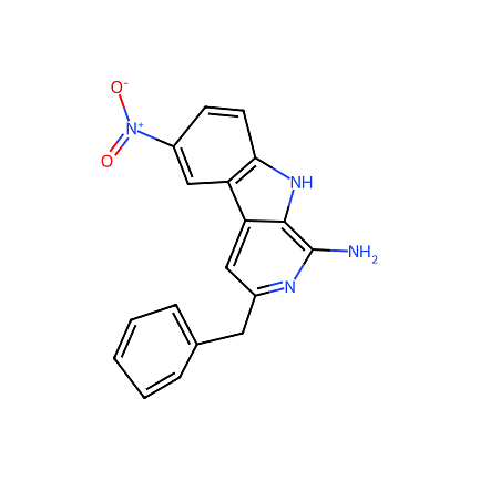 Nc1nc(Cc2ccccc2)cc2c1[nH]c1ccc([N+](=O)[O-])cc12